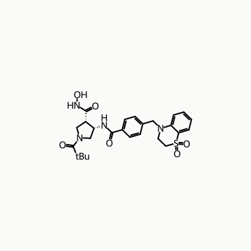 CC(C)(C)C(=O)N1C[C@H](C(=O)NO)[C@H](NC(=O)c2ccc(CN3CCS(=O)(=O)c4ccccc43)cc2)C1